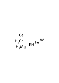 [CaH2].[Ce].[Fe].[KH].[MgH2].[W]